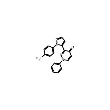 Cc1ccc(-n2nccc2-c2nn(-c3ccccc3)ccc2=O)cc1